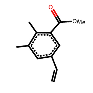 C=Cc1cc(C)c(C)c(C(=O)OC)c1